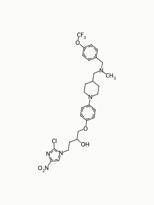 CN(Cc1ccc(OC(F)(F)F)cc1)CC1CCN(c2ccc(OCC(O)CCn3cc([N+](=O)[O-])nc3Cl)cc2)CC1